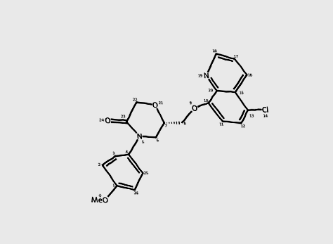 COc1ccc(N2C[C@@H](COc3ccc(Cl)c4cccnc34)OCC2=O)cc1